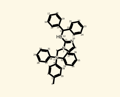 Cc1ccc([Si](Cn2ccnc2BC(c2ccccc2)c2ccccc2)(c2ccccc2)c2ccccc2)cc1